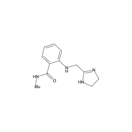 CCC(C)NC(=O)c1ccccc1NCC1=NCCN1